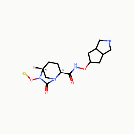 O=C(NOC1CC2CNCC2C1)[C@@H]1CC[C@@H]2CN1C(=O)N2OS